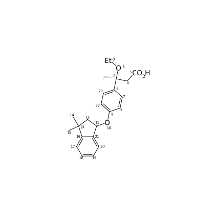 CCO[C@@](C)(CC(=O)O)c1ccc(OC2CC(C)(C)c3ccccc32)cc1